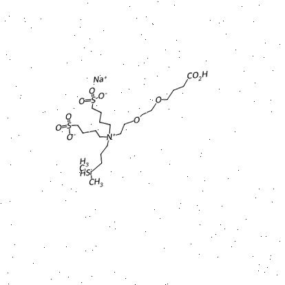 C[SiH](C)CCC[N+](CCCCS(=O)(=O)[O-])(CCCCS(=O)(=O)[O-])CCOCCOCCCC(=O)O.[Na+]